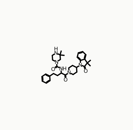 CC1(C)CN(C(=O)NC(CCc2ccccc2)C(=O)N2CCC(N3C(=O)C(C)(C)c4ccccc43)CC2)CCN1